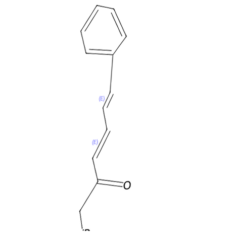 CC(C)CC(=O)/C=C/C=C/c1ccccc1